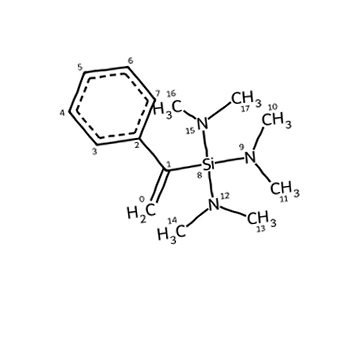 C=C(c1ccccc1)[Si](N(C)C)(N(C)C)N(C)C